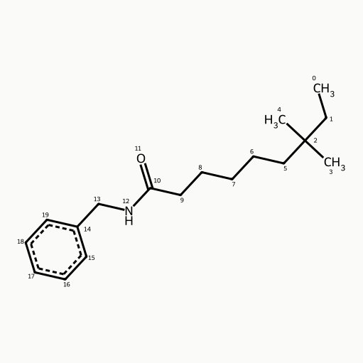 CCC(C)(C)CCCCCC(=O)NCc1ccccc1